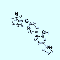 Oc1cc(-n2nccn2)ccc1-c1ccc(O[C@H]2CC3CC[C@@H](C3)C2)nn1